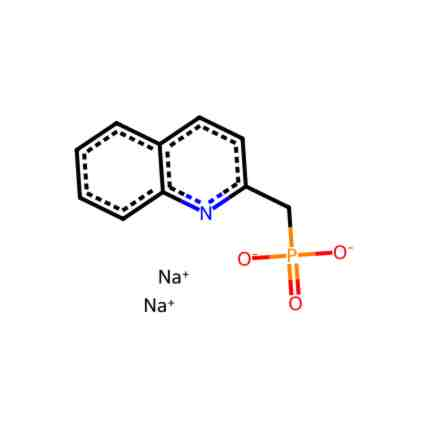 O=P([O-])([O-])Cc1ccc2ccccc2n1.[Na+].[Na+]